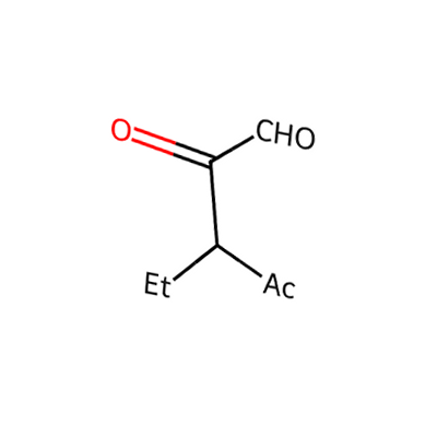 CCC(C(C)=O)C(=O)C=O